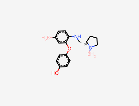 Bc1ccc(NC[C@@H]2CCCN2B)c(Oc2ccc(O)cc2)c1